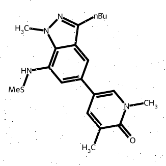 CCCCc1nn(C)c2c(NSC)cc(-c3cc(C)c(=O)n(C)c3)cc12